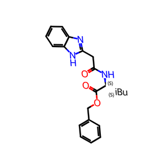 CC[C@H](C)[C@H](NC(=O)Cc1nc2ccccc2[nH]1)C(=O)OCc1ccccc1